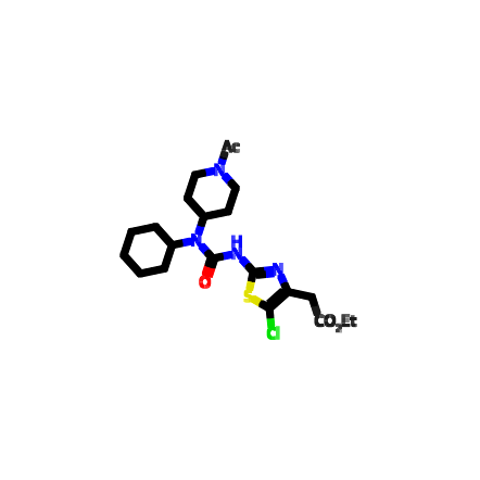 CCOC(=O)Cc1nc(NC(=O)N(C2CCCCC2)C2CCN(C(C)=O)CC2)sc1Cl